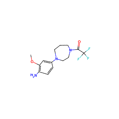 COc1cc(N2CCCN(C(=O)C(F)(F)F)CC2)ccc1N